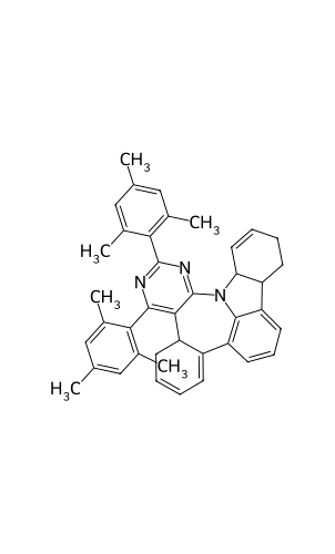 Cc1cc(C)c(-c2nc(-c3c(C)cc(C)cc3C)c3c(n2)N2c4c(cccc4C4CCC=CC42)C2=CC=CCC23)c(C)c1